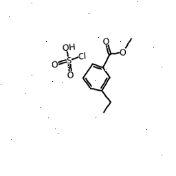 CCc1cccc(C(=O)OC)c1.O=S(=O)(O)Cl